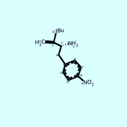 C=C([C@H](N)Cc1ccc([N+](=O)[O-])cc1)C(C)(C)C